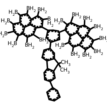 Bc1c(B)c2c(B)c(B)c3c(B)c(B)c(-c4cc(-c5ccc6c(c5)C(C)(C)c5cc(-c7ccccc7)ccc5-6)cc(-c5c(B)c(B)c6c(B)c(B)c7c(B)c(B)c(B)c8c(B)c(B)c5c6c78)c4)c4c(B)c(B)c(c1B)c2c34